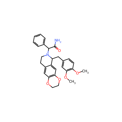 COc1ccc(CC2c3cc4c(cc3CCN2C(C(N)=O)c2ccccc2)OCCO4)cc1OC